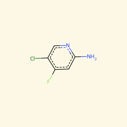 Nc1cc(F)c(Cl)cn1